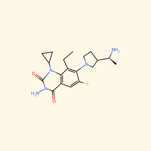 CCc1c(N2CCC([C@H](C)N)C2)c(F)cc2c(=O)n(N)c(=O)n(C3CC3)c12